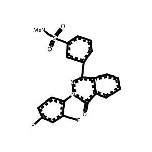 CNS(=O)(=O)c1cccc(-c2nn(-c3ccc(F)cc3F)c(=O)c3ccccc23)c1